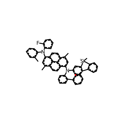 Cc1ccccc1N(c1ccccc1F)c1cc(C)c2ccc3c(N(c4ccc5c(c4)[Si](C)(C)c4ccccc4-5)c4ccccc4-c4ccccc4)cc(C)c4ccc1c2c43